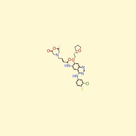 C[C@@H]1CN(CC=CC(=O)Nc2cc3c(Nc4ccc(F)c(Cl)c4)ncnc3cc2OCC[C@@H]2CCCO2)CC(=O)O1